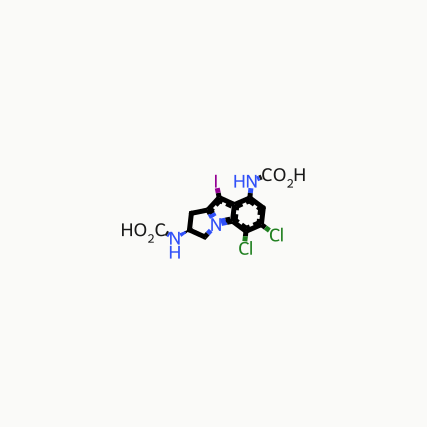 O=C(O)Nc1cc(Cl)c(Cl)c2c1c(I)c1n2C[C@@H](NC(=O)O)C1